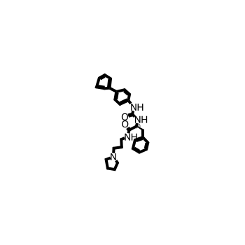 O=C(Nc1ccc(-c2ccccc2)cc1)N[C@@H](Cc1ccccc1)C(=O)NCCCN1CCCC1